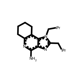 CC(C)Cc1nc2c(N)nc3c(c2n1CC(C)C)CCCC3